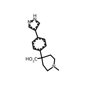 CN1CCC(C(=O)O)(c2ccc(-c3cn[nH]c3)cc2)CC1